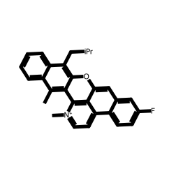 Cc1c2c(c(CC(C)C)c3ccccc13)Oc1cc3cc(F)ccc3c3cc[n+](C)c-2c13